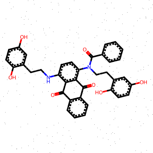 O=C1c2ccccc2C(=O)c2c(N(CCc3cc(O)ccc3O)C(=O)c3ccccc3)ccc(NCCc3cc(O)ccc3O)c21